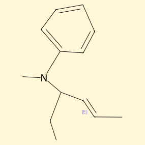 C/C=C/C(CC)N(C)c1ccccc1